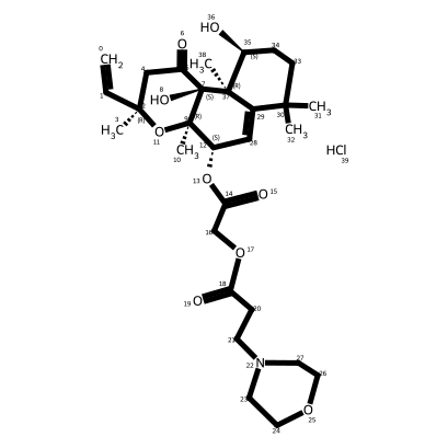 C=C[C@@]1(C)CC(=O)[C@@]2(O)[C@](C)(O1)[C@@H](OC(=O)COC(=O)CCN1CCOCC1)C=C1C(C)(C)CC[C@H](O)[C@@]12C.Cl